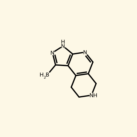 Bc1n[nH]c2ncc3c(c12)CCNC3